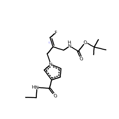 CCNC(=O)c1ccn(C/C(=C/F)CNC(=O)OC(C)(C)C)c1